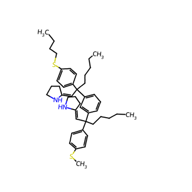 CCCCCC(/C=C1\CCCN1)(c1ccc(SC)cc1)c1cccc(C(/C=C2\CCCN2)(CCCCC)c2ccc(SCCCC)cc2)c1